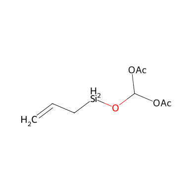 C=CC[SiH2]OC(OC(C)=O)OC(C)=O